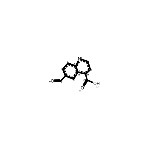 O=Cc1ccc2nccc(C(=O)O)c2c1